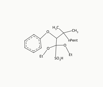 CCCCCC(C)(C)C(Oc1ccccc1)C(OCC)(OCC)S(=O)(=O)O